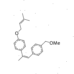 COCc1ccc(C=C(C)c2ccc(OCC=C(C)C)cc2)cc1